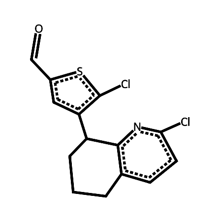 O=Cc1cc(C2CCCc3ccc(Cl)nc32)c(Cl)s1